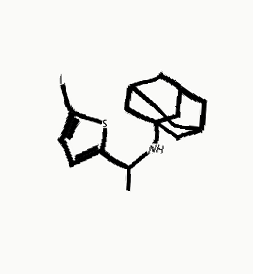 CC(NC12CC3CC(CC(C3)C1)C2)c1ccc(I)s1